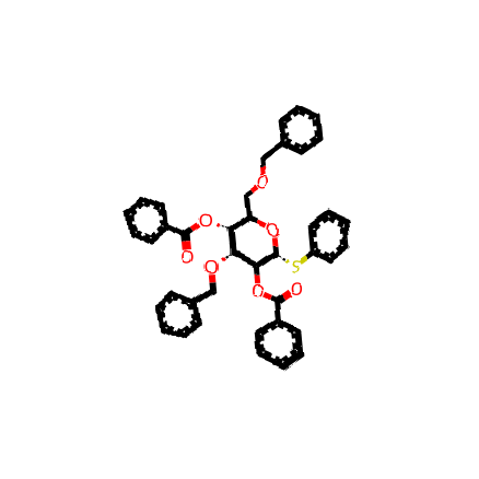 O=C(OC1[C@@H](Sc2ccccc2)OC(COCc2ccccc2)[C@@H](OC(=O)c2ccccc2)[C@H]1OCc1ccccc1)c1ccccc1